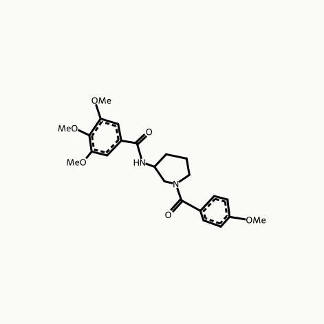 COc1ccc(C(=O)N2CCCC(NC(=O)c3cc(OC)c(OC)c(OC)c3)C2)cc1